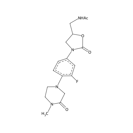 CC(=O)NCC1CN(c2ccc(N3CCN(C)C(=O)C3)c(F)c2)C(=O)O1